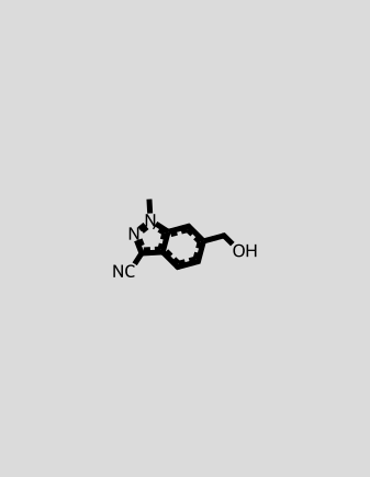 Cn1nc(C#N)c2ccc(CO)cc21